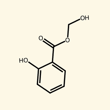 O=C(OCO)c1ccccc1O